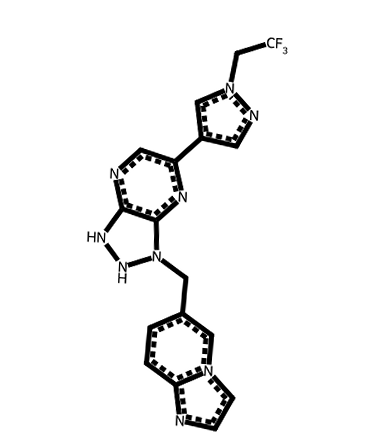 FC(F)(F)Cn1cc(-c2cnc3c(n2)N(Cc2ccc4nccn4c2)NN3)cn1